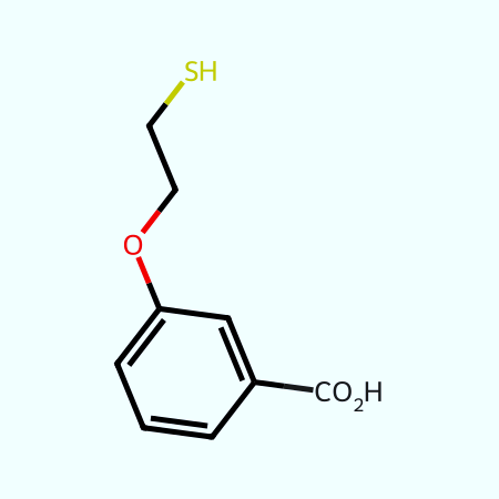 O=C(O)c1cccc(OCCS)c1